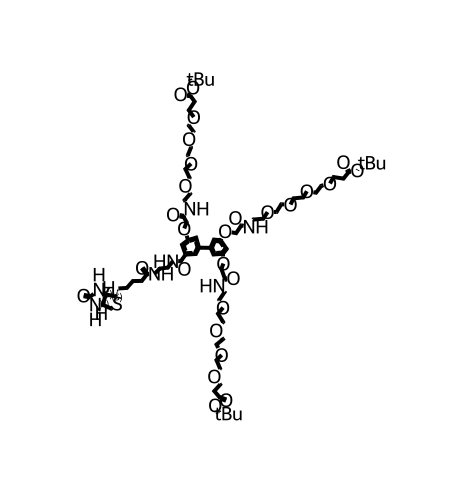 CC(C)(C)OC(=O)CCOCCOCCOCCOCCNC(=O)COc1cc(OCC(=O)NCCOCCOCCOCCOCCC(=O)OC(C)(C)C)cc(-c2cc(OCC(=O)NCCOCCOCCOCCOCCC(=O)OC(C)(C)C)cc(C(=O)NCCNC(=O)CCCC[C@@H]3SC[C@@H]4NC(=O)N[C@@H]43)c2)c1